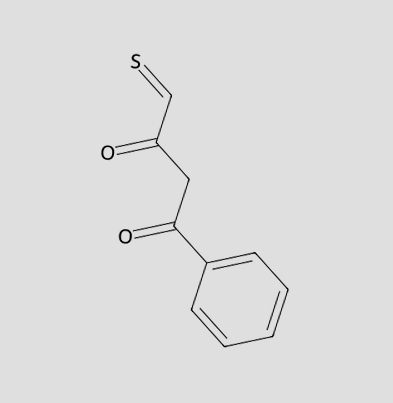 O=C(C=S)CC(=O)c1ccccc1